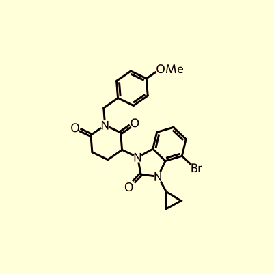 COc1ccc(CN2C(=O)CCC(n3c(=O)n(C4CC4)c4c(Br)cccc43)C2=O)cc1